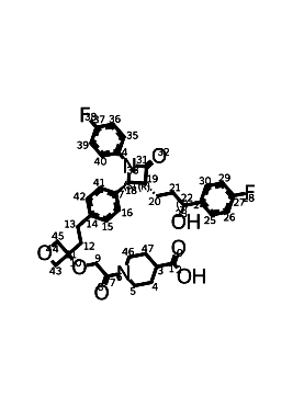 O=C(O)C1CCN(C(=O)COC2(CCc3ccc([C@@H]4[C@@H](CC[C@H](O)c5ccc(F)cc5)C(=O)N4c4ccc(F)cc4)cc3)COC2)CC1